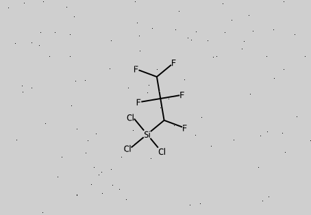 FC(F)C(F)(F)C(F)[Si](Cl)(Cl)Cl